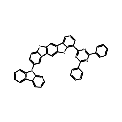 c1ccc(-c2nc(-c3ccccc3)nc(-c3cccc4c3sc3cc5c(cc34)sc3ccc(-n4c6ccccc6c6ccccc64)cc35)n2)cc1